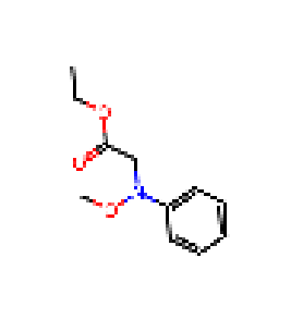 CCOC(=O)CN(OC)c1c[c]ccc1